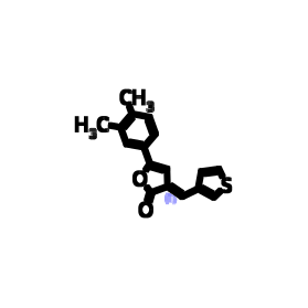 Cc1ccc(C2=C/C(=C\c3ccsc3)C(=O)O2)cc1C